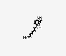 OCCCCCCNc1ccc2nncn2n1